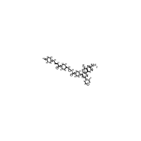 C[C@H]1COCCN1c1nc(-c2cnc(N)nc2C(F)F)nc(N2CCN(C(=O)COCC3CCN(C(=O)/C=C/CN4CCN(C)CC4)CC3)CC2)n1